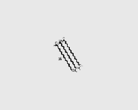 CCCCCCCCCCCCCCCCCC(=O)[O-].CCCCCCCCCCCCCCCCCC(=O)[O-].CCCCCCCCCCCCCCCCCC(=O)[O-].[Al+3].[Zn]